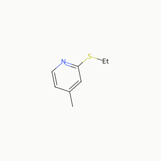 CCSc1cc(C)ccn1